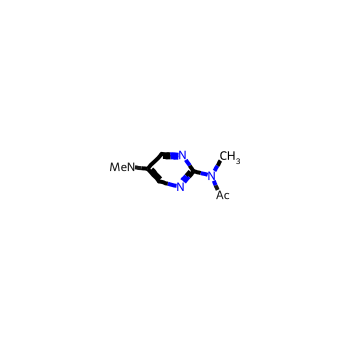 CNc1cnc(N(C)C(C)=O)nc1